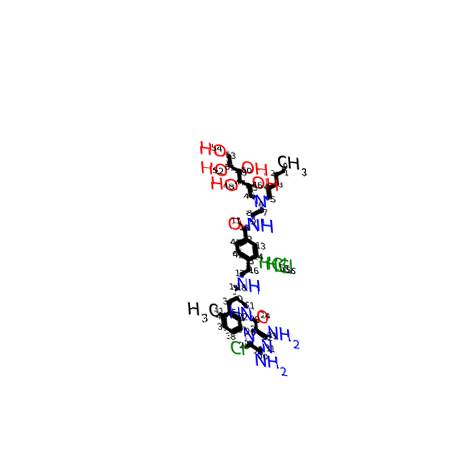 CCCCCCN(CCNC(=O)c1ccc(CCNC[C@H](CNC(=O)c2nc(Cl)c(N)nc2N)Cc2ccccc2C)cc1)C[C@H](O)[C@@H](O)[C@H](O)[C@H](O)CO.Cl.Cl